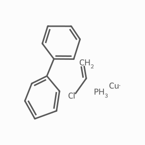 C=CCl.P.[Cu].c1ccc(-c2ccccc2)cc1